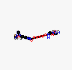 C=C1CCC(N(C=O)C(=O)c2cccc(NCCOCCOCCOCCOCCOCCC(=O)N3CCN(c4ccc(-c5ccc(CN(C)C(C(=O)Nc6nccs6)c6ccccc6)c(C=O)c5)cc4)CC3)c2C)C(=O)N1